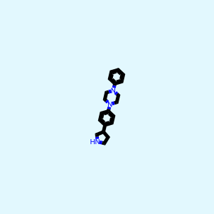 c1ccc(N2CCN(c3ccc(C4CCNC4)cc3)CC2)cc1